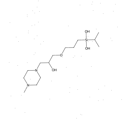 CC(C)[Si](O)(O)CCCOCC(O)CN1CCN(C)CC1